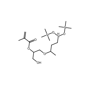 C=C(C)C(=O)OC(CO)COC(C)CC[SiH](O[Si](C)(C)C)O[Si](C)(C)C